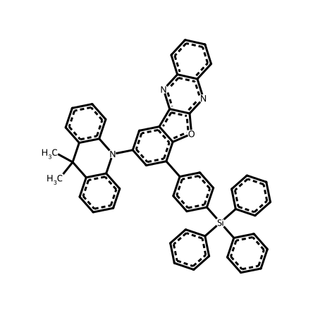 CC1(C)c2ccccc2N(c2cc(-c3ccc([Si](c4ccccc4)(c4ccccc4)c4ccccc4)cc3)c3oc4nc5ccccc5nc4c3c2)c2ccccc21